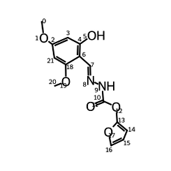 COc1cc(O)c(C=NNC(=O)Oc2ccco2)c(OC)c1